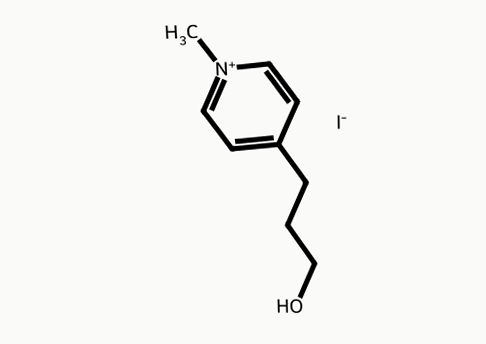 C[n+]1ccc(CCCO)cc1.[I-]